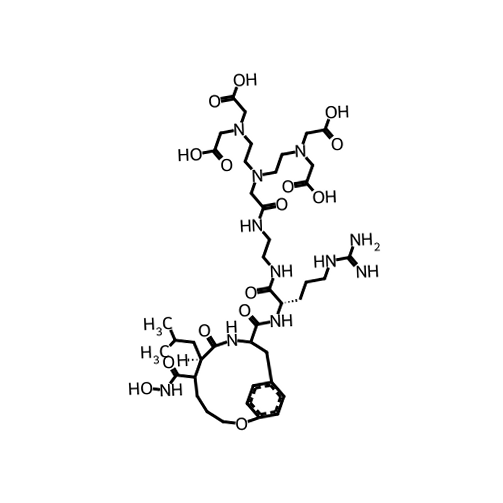 CC(C)C[C@H]1C(=O)NC(C(=O)N[C@@H](CCCNC(=N)N)C(=O)NCCNC(=O)CN(CCN(CC(=O)O)CC(=O)O)CCN(CC(=O)O)CC(=O)O)Cc2ccc(cc2)OCCCC1C(=O)NO